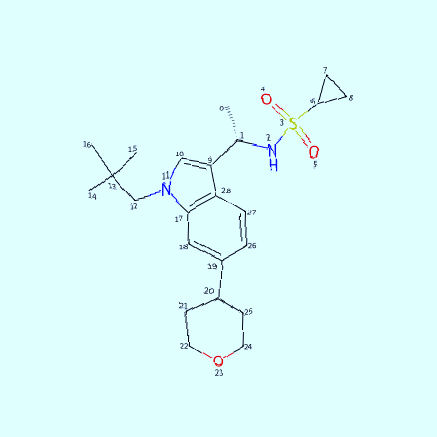 C[C@H](NS(=O)(=O)C1CC1)c1cn(CC(C)(C)C)c2cc(C3CCOCC3)ccc12